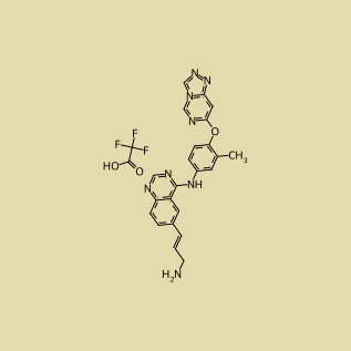 Cc1cc(Nc2ncnc3ccc(/C=C/CN)cc23)ccc1Oc1cc2nncn2cn1.O=C(O)C(F)(F)F